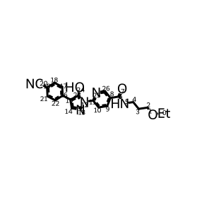 CCOCCCNC(=O)c1ccc(-n2ncc(-c3ccc(C#N)cc3)c2O)nc1